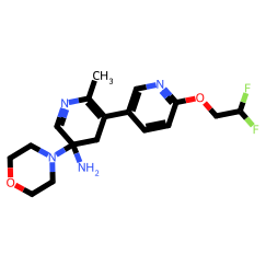 CC1=C(c2ccc(OCC(F)F)nc2)CC(N)(N2CCOCC2)C=N1